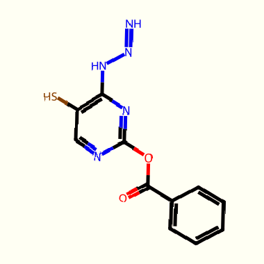 N=NNc1nc(OC(=O)c2ccccc2)ncc1S